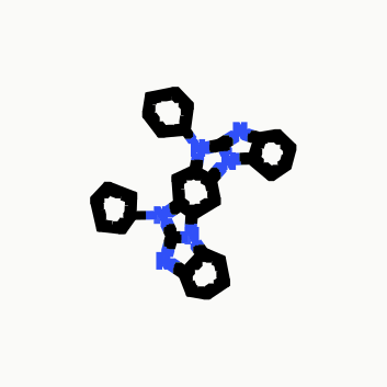 c1ccc(-n2c3cc4c(cc3n3c5ccccc5nc23)n2c3ccccc3nc2n4-c2ccccc2)cc1